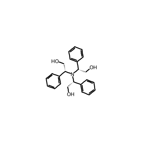 OC[C@@H](c1ccccc1)N([C@@H](CO)c1ccccc1)[C@@H](CO)c1ccccc1